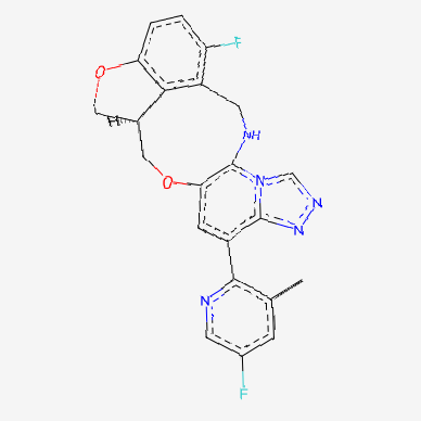 Cc1cc(F)cnc1-c1cc2c(n3cnnc13)NCc1c(F)ccc3c1[C@H](CO3)CO2